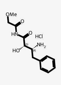 COCC(=O)NC(=O)[C@@H](O)[C@H](N)Cc1ccccc1.Cl